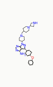 Nc1ncnc2c1c(-c1ccc(Oc3ccccc3)cc1)nn2C1CCN(CC2CCN(C3CNC3)CC2)CC1